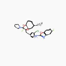 O=C(O)C1CCC(OC(F)(C(=O)Cc2ccc(Nc3nc4cc(F)ccc4o3)c(Cl)c2)N2CCCC2)CC1